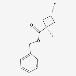 C[C@]1(C(=O)OCc2ccccc2)C[C@H](F)C1